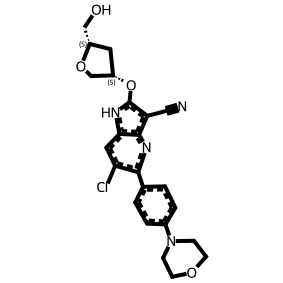 N#Cc1c(O[C@@H]2CO[C@H](CO)C2)[nH]c2cc(Cl)c(-c3ccc(N4CCOCC4)cc3)nc12